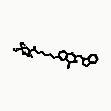 C=C(CC(C)(C)C)NCCCCCc1ccc2nc(CN3CCc4ccccc43)[nH]c(=O)c2c1